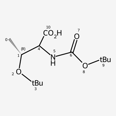 C[C@@H](OC(C)(C)C)C(NC(=O)OC(C)(C)C)C(=O)O